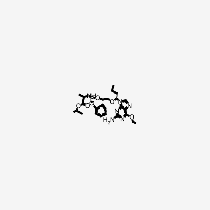 CCC[C@@H](OCCOP(NC(C)C(=O)OC(C)C)Oc1ccccc1)n1cnc2c(OCC)nc(N)nc21